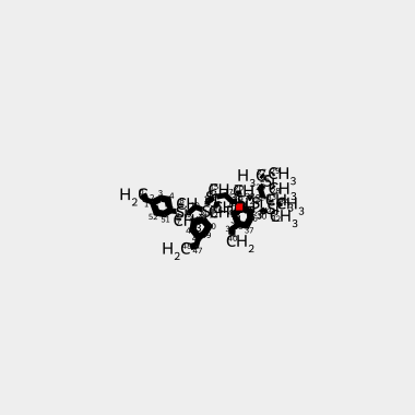 C=Cc1ccc([Si](C)(C)CC[Si](C)(C[Si](C)(C)CC[Si](C)(C)C[Si](CC[Si](C)(C)C)(C[Si](C)(C)C)c2ccc(C=C)cc2)c2ccc(C=C)cc2)cc1